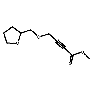 COC(=O)C#CCOCC1CCCO1